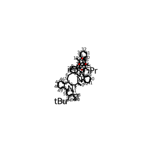 C=C1CC2C(CCc3ccc4c(sc5c(C)ccc(C)c54)c3-c3n(-c4c(C(C)C)cc(-c5ccccc5)cc4C(C)C)c4ccccc4[n+]31)c1ccccc1-c1cc(CC(C)(C)C)c([Si](C)(C)C)c[n+]12